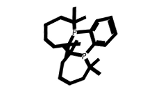 CC1(C)CCCCC(C)(C)P1c1ccccc1P1C(C)(C)CCCCC1(C)C